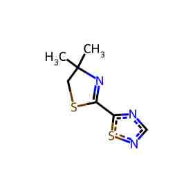 CC1(C)CSC(c2ncns2)=N1